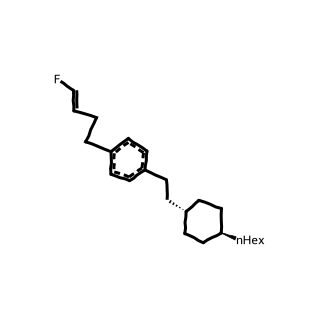 CCCCCC[C@H]1CC[C@H](CCc2ccc(CC/C=C/F)cc2)CC1